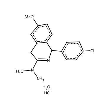 COc1ccc2c(c1)CC(N(C)C)=NC2c1ccc(Cl)cc1.Cl.O